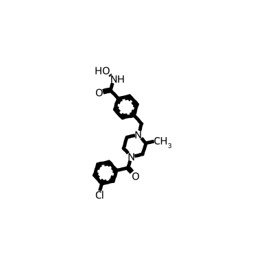 CC1CN(C(=O)c2cccc(Cl)c2)CCN1Cc1ccc(C(=O)NO)cc1